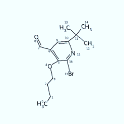 CCCCOc1c(C=O)cc(C(C)(C)C)nc1Br